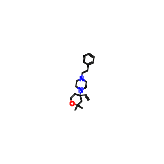 C=CC1(N2CCN(CCc3ccccc3)CC2)CCOC(C)(C)C1